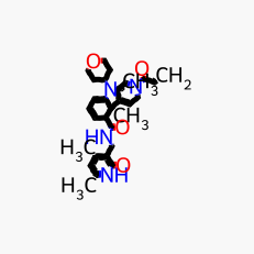 C=CC(=O)N1CC=C(C2(C)C(N(CC)C3CCOCC3)=CC=CC2C(=O)NCc2c(C)cc(C)[nH]c2=O)CC1